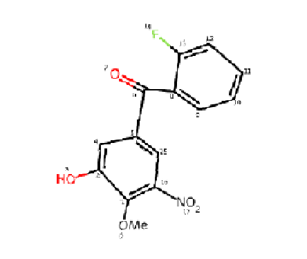 COc1c(O)cc(C(=O)c2ccccc2F)cc1[N+](=O)[O-]